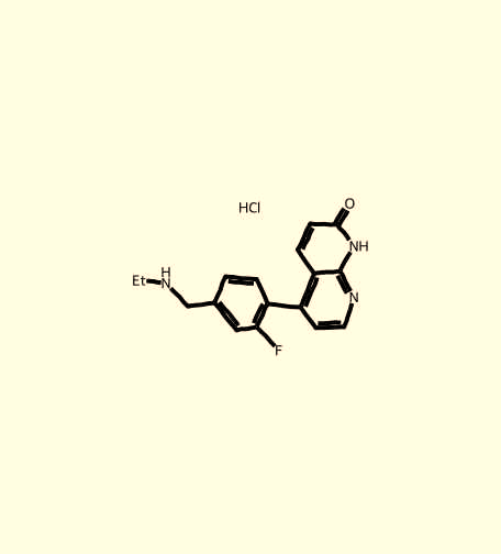 CCNCc1ccc(-c2ccnc3[nH]c(=O)ccc23)c(F)c1.Cl